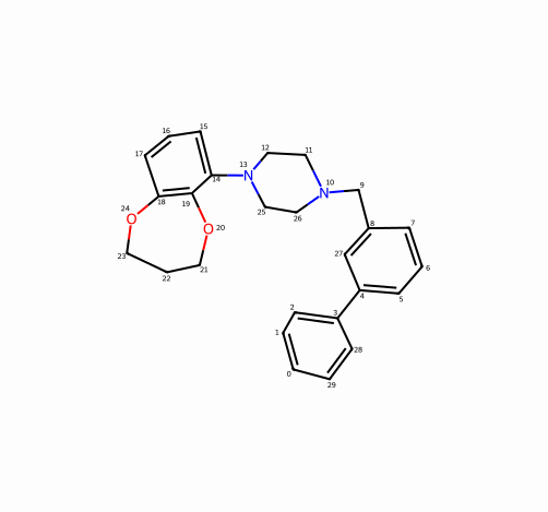 c1ccc(-c2cccc(CN3CCN(c4cccc5c4OCCCO5)CC3)c2)cc1